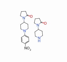 O=C1CCCN1C1CCN(c2ccc([N+](=O)[O-])cc2)CC1.O=C1CCCN1C1CCNCC1